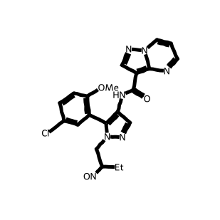 CCC(Cn1ncc(NC(=O)c2cnn3cccnc23)c1-c1cc(Cl)ccc1OC)N=O